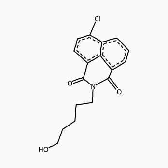 O=C1c2cccc3c(Cl)ccc(c23)C(=O)N1CCCCCO